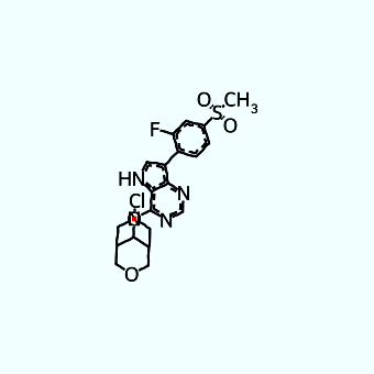 CS(=O)(=O)c1ccc(-c2c[nH]c3c(OC4C5COCC4CN(Cl)C5)ncnc23)c(F)c1